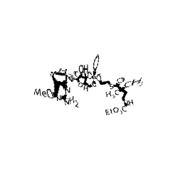 CCOC(=O)NCCC(C)(C)C(=O)SCCO[P@]1(=O)OC[C@H]2O[C@@H](n3cnc4c(OC)nc(N)nc43)[C@](C)(O)[C@@H]2O1